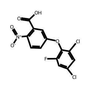 O=C(O)c1cc(Oc2c(F)cc(Cl)cc2Cl)ccc1[N+](=O)[O-]